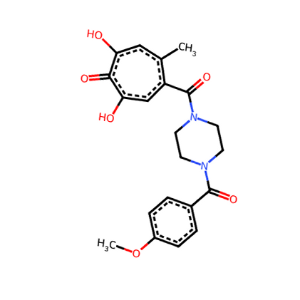 COc1ccc(C(=O)N2CCN(C(=O)c3cc(O)c(=O)c(O)cc3C)CC2)cc1